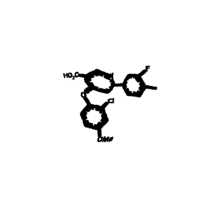 COc1ccc(Oc2cc(-c3ccc(C)c(F)c3)ncc2C(=O)O)c(Cl)c1